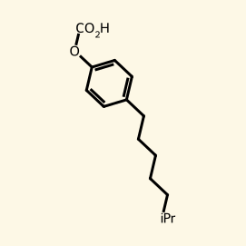 CC(C)CCCCCc1ccc(OC(=O)O)cc1